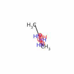 CCCCCCCCCCCCCCCC(=O)N[C@@H](CCC(=O)NOCCOCC(=O)NCC)C(=O)O